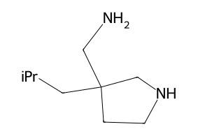 CC(C)CC1(CN)CCNC1